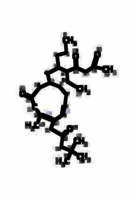 CCCC(CC1CC/C=C\C(CC(=O)CC(C)(C)C)=C(\C)CC(=O)C1)C(CC)C(=O)CC(C)=O